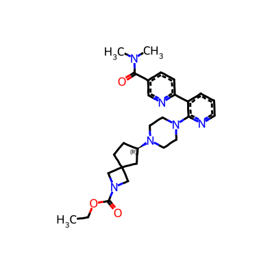 CCOC(=O)N1CC2(CC[C@@H](N3CCN(c4ncccc4-c4ccc(C(=O)N(C)C)cn4)CC3)C2)C1